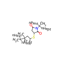 CCCCCCCC(C)(CCCCC)N1C(=O)CC(SC(CC)CC(C)(CC)C(C)(CCCCC)CCCCCC)C1=O